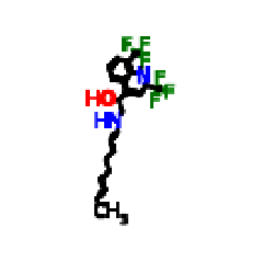 CCCCCCCCCNC[C@@H](O)c1cc(C(F)(F)F)nc2c(C(F)(F)F)cccc12